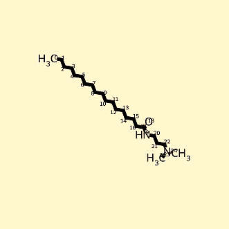 CCCCCCCCCCCCCCCCCC(=O)NCCCN(C)C